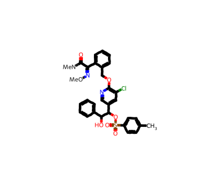 CNC(=O)C(=NOC)c1ccccc1COc1ncc(C(OS(=O)(=O)c2ccc(C)cc2)C(O)c2ccccc2)cc1Cl